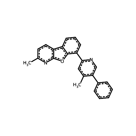 Cc1ccc2c(n1)oc1c(-c3cc(C)c(-c4ccccc4)cn3)cccc12